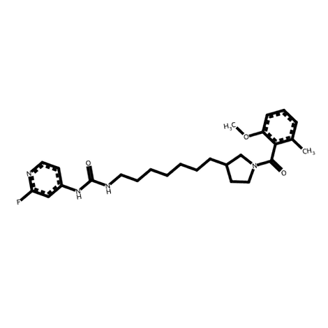 COc1cccc(C)c1C(=O)N1CCC(CCCCCCCNC(=O)Nc2ccnc(F)c2)C1